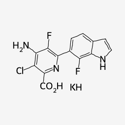 Nc1c(F)c(-c2ccc3cc[nH]c3c2F)nc(C(=O)O)c1Cl.[KH]